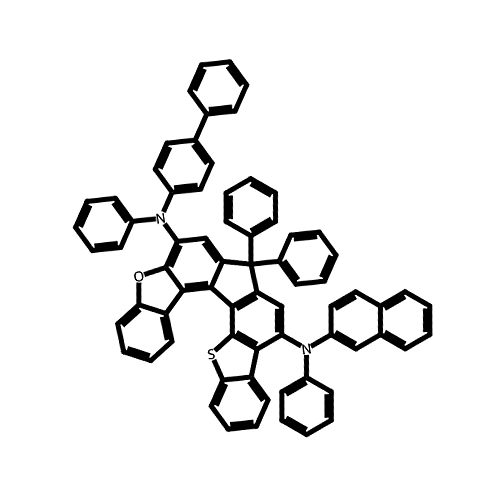 c1ccc(-c2ccc(N(c3ccccc3)c3cc4c(c5c3oc3ccccc35)-c3c(cc(N(c5ccccc5)c5ccc6ccccc6c5)c5c3sc3ccccc35)C4(c3ccccc3)c3ccccc3)cc2)cc1